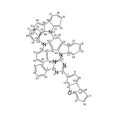 c1ccc(-c2nc(-c3ccc4c(c3)oc3ccccc34)nc(-n3c4ccccc4c4cc(-n5c6ccccc6c6ccccc65)c5c(c6ccccc6n5-c5ccccc5)c43)n2)cc1